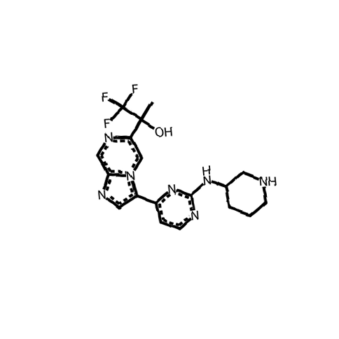 CC(O)(c1cn2c(-c3ccnc(NC4CCCNC4)n3)cnc2cn1)C(F)(F)F